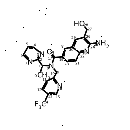 CC(c1ncccn1)N(Cc1ccc(C(F)(F)F)cn1)C(=O)c1ccc2nc(N)c(CO)cc2c1